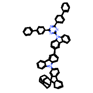 c1ccc(-c2ccc(-c3nc(-c4ccc(-c5ccccc5)cc4)nc(-n4c5ccccc5c5cc(-c6ccc7c(c6)c6ccccc6n7-c6ccc7c(c6)C6(c8ccccc8-7)C7CC8CC(C7)CC6C8)ccc54)n3)cc2)cc1